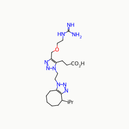 CC(C)C1CCCCCc2c1nnn2CCn1nnc(COCCNC(=N)N)c1CCC(=O)O